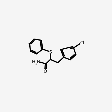 NC(=O)C(Cc1ccc(Cl)cc1)Sc1cc[c]cc1